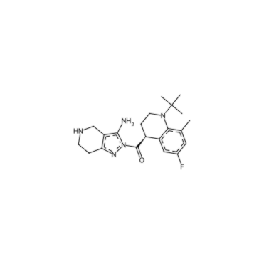 Cc1cc(F)cc2c1N(C(C)(C)C)CC[C@@H]2C(=O)n1nc2c(c1N)CNCC2